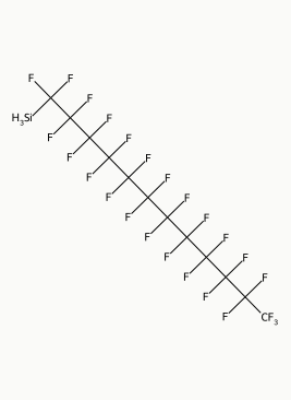 FC(F)(F)C(F)(F)C(F)(F)C(F)(F)C(F)(F)C(F)(F)C(F)(F)C(F)(F)C(F)(F)C(F)(F)C(F)(F)C(F)(F)[SiH3]